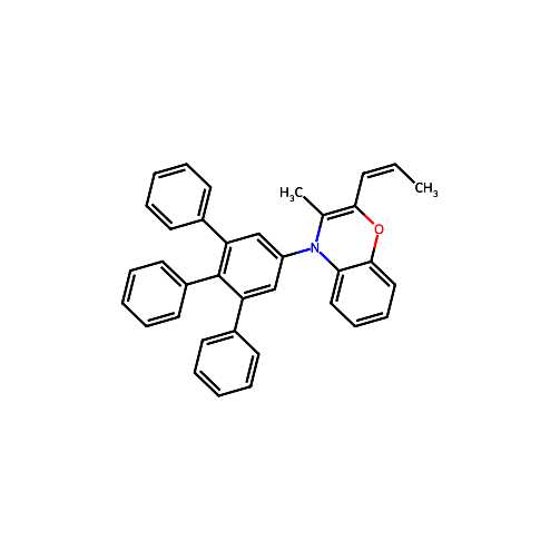 C/C=C\C1=C(C)N(c2cc(-c3ccccc3)c(-c3ccccc3)c(-c3ccccc3)c2)c2ccccc2O1